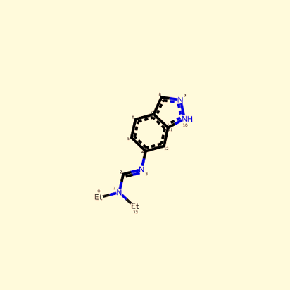 CCN(C=Nc1ccc2cn[nH]c2c1)CC